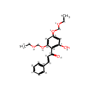 CCOCOc1cc(O)c(C(=O)C=Cc2ccccc2)c(OCOCC)c1